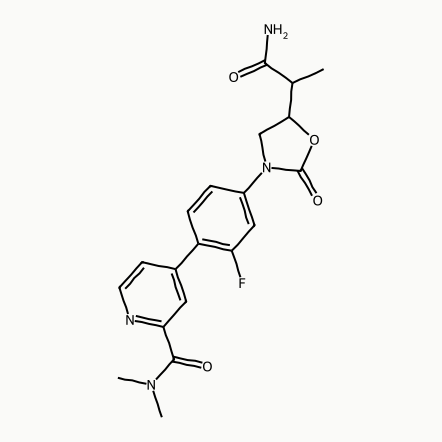 CC(C(N)=O)C1CN(c2ccc(-c3ccnc(C(=O)N(C)C)c3)c(F)c2)C(=O)O1